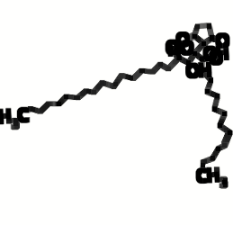 CCCC/C=C\CCCCCCCC(=O)C(O)(C(O)C(=O)CCCCCCCCCCCCCCCCC)C1(O)C(=O)CCC1=O